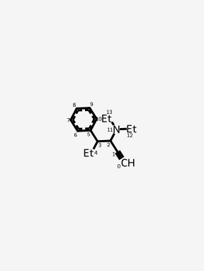 C#CC(C(CC)c1ccccc1)N(CC)CC